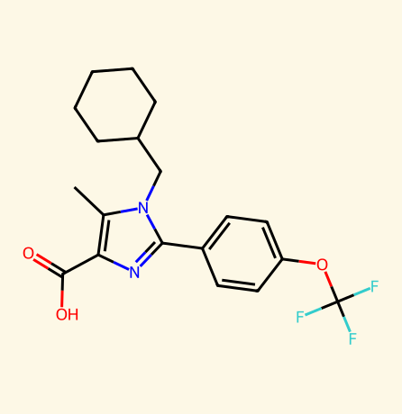 Cc1c(C(=O)O)nc(-c2ccc(OC(F)(F)F)cc2)n1CC1CCCCC1